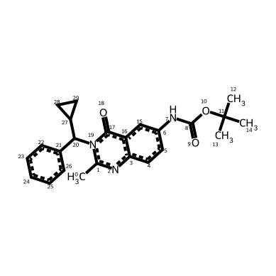 Cc1nc2ccc(NC(=O)OC(C)(C)C)cc2c(=O)n1C(c1ccccc1)C1CC1